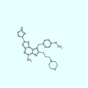 COc1ccc(Cn2c(CCCN3CCOCC3)nc3c(C)nc4cc(-c5cc[nH]n5)sc4c32)cc1